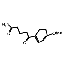 COC1=CC=C(C(=O)CCCC(N)=O)CC1